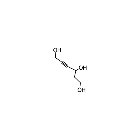 OCC#CC(O)CCO